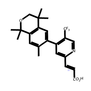 Cc1cc2c(cc1-c1cc(/C=C/C(=O)O)ncc1C(F)(F)F)C(C)(C)COC2(C)C